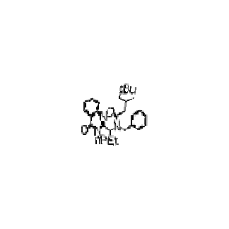 CCCn1c(C(CC)N(Cc2ccccc2)C(=O)CC(C)CC(C)(C)C)nc2ccccc2c1=O